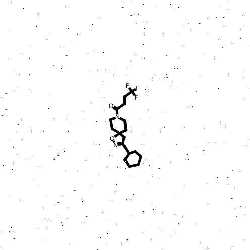 O=C(CCC(F)(F)F)N1CCC2(CC1)CC(C1CCCCC1)=NO2